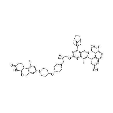 CCc1c(F)ccc2cc(O)cc(-c3ncc4c(C5CC6CCC(C5)N6)nc(OCC5(CN6CCC(OC7CCN(c8cc(F)c(C9CCC(=O)NC9=O)c(F)c8)CC7)CC6)CC5)nc4c3F)c12